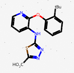 CC(C)(C)c1ccccc1Oc1ncccc1Nc1nnc(C(=O)O)s1